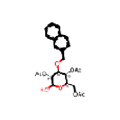 CC(=O)OC[C@H]1OC(O)[C@H](OC(C)=O)[C@@H](OCc2ccc3ccccc3c2)[C@@H]1OC(C)=O